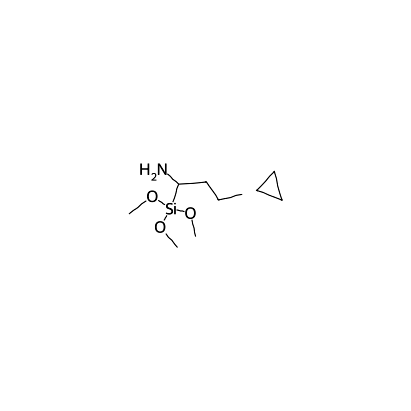 C1CC1.CCCC(N)[Si](OC)(OC)OC